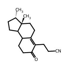 C[C@H]1CCC2C3CCC(=O)C(CCC#N)=C3CC[C@]21C